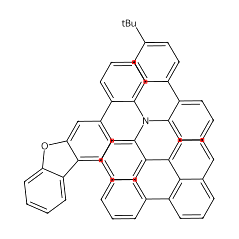 CC(C)(C)c1ccc(-c2ccccc2N(c2ccccc2-c2ccc3c(c2)oc2ccccc23)c2ccccc2-c2cccc3cccc(-c4ccccc4)c23)cc1